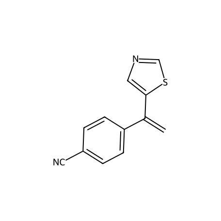 C=C(c1ccc(C#N)cc1)c1cncs1